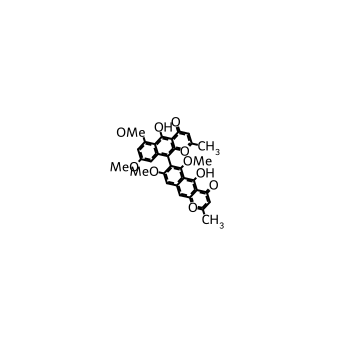 COc1cc(OC)c2c(O)c3c(=O)cc(C)oc3c(-c3c(OC)cc4cc5oc(C)cc(=O)c5c(O)c4c3OC)c2c1